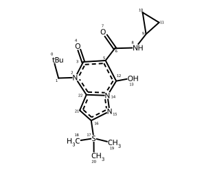 CC(C)(C)Cn1c(=O)c(C(=O)NC2CC2)c(O)n2nc(S(C)(C)C)cc12